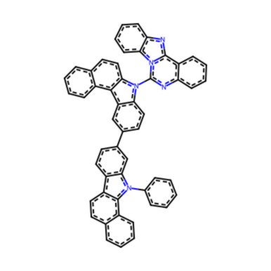 c1ccc(-n2c3cc(-c4ccc5c(c4)c4c6ccccc6ccc4n5-c4nc5ccccc5c5nc6ccccc6n45)ccc3c3ccc4ccccc4c32)cc1